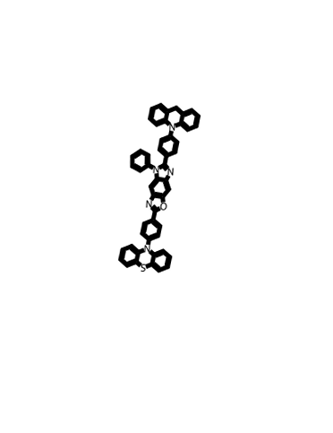 c1ccc(-n2c(-c3ccc(N4c5ccccc5Cc5ccccc54)cc3)nc3cc4oc(-c5ccc(N6c7ccccc7Sc7ccccc76)cc5)nc4cc32)cc1